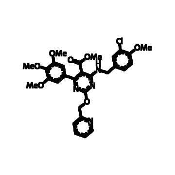 COC(=O)c1c(NCc2ccc(OC)c(Cl)c2)nc(OCc2ccccn2)nc1-c1cc(OC)c(OC)c(OC)c1